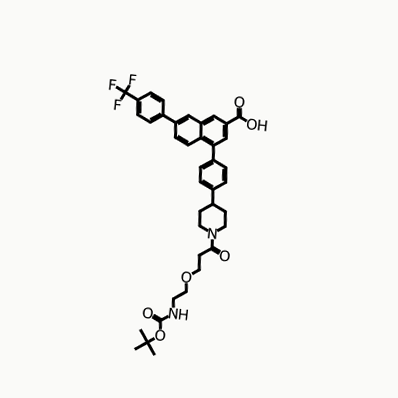 CC(C)(C)OC(=O)NCCOCCC(=O)N1CCC(c2ccc(-c3cc(C(=O)O)cc4cc(-c5ccc(C(F)(F)F)cc5)ccc34)cc2)CC1